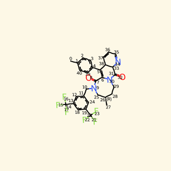 Cc1ccc(C2=C3C(=O)N(Cc4cc(C(F)(F)F)cc(C(F)(F)F)c4)C[C@H](C)CCN3C(=O)C3N=CC=CC23)cc1